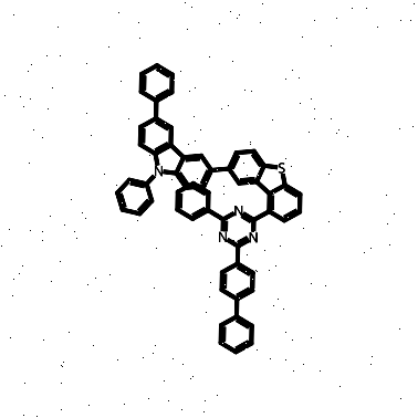 c1ccc(-c2ccc(-c3nc(-c4ccccc4)nc(-c4cccc5sc6ccc(-c7ccc8c(c7)c7cc(-c9ccccc9)ccc7n8-c7ccccc7)cc6c45)n3)cc2)cc1